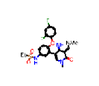 CCS(=O)(=O)Nc1ccc(Oc2ccc(F)cc2F)c(C2=CN(C)C(=O)/C(=C/NC)C2=N)c1